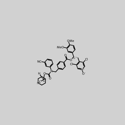 COc1ccc([C@H](Cc2c(Cl)c[n+]([O-])cc2Cl)OC(=O)c2ccc(CN(C(=O)O[C@H]3CN4CCC3CC4)c3cccc(C#N)c3)cc2)cc1OC